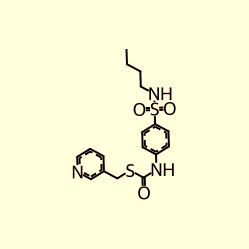 CCCCNS(=O)(=O)c1ccc(NC(=O)SCc2cccnc2)cc1